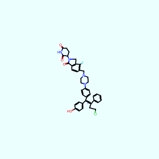 O=C1CCC(N2Cc3c(ccc(CN4CCN(c5ccc(/C(=C(/CCCl)c6ccccc6)c6ccc(O)cc6)cc5)CC4)c3F)C2=O)C(=O)N1